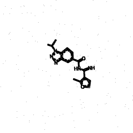 Cc1occc1C(=N)NC(=O)c1ccc2c(c1)nnn2C(C)C